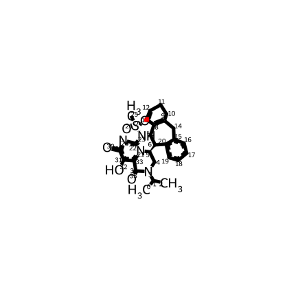 CC(C)N1C[C@H](C2CC3=C(CCC=C3)Cc3ccccc32)n2c(NS(C)(=O)=O)nc(=O)c(O)c2C1=O